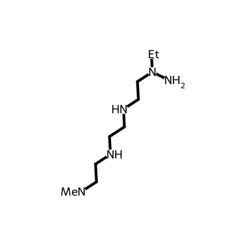 CCN(N)CCNCCNCCNC